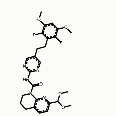 COc1cc(OC)c(F)c(CCc2cnc(NC(=O)N3CCCc4ccc(C(OC)OC)nc43)nc2)c1F